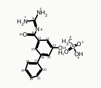 CS(=O)(=O)O.NC(N)=NC(=O)c1cc(O)cc(-c2ccccc2)c1